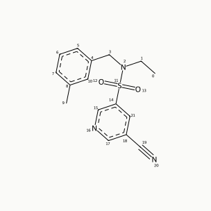 CCN(Cc1cccc(C)c1)S(=O)(=O)c1cncc(C#N)c1